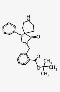 CC(C)(C)OC(=O)c1ccccc1CN1CN(c2ccccc2)C2(CCNCC2)C1=O